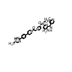 CCN(C(=O)[C@@H]1CCN(CC(=O)N2CC=C(c3ccc(C(=N)/N=C\NC)cc3)CC2)C1)c1ccc(N)c(C(=N)c2ccnc(C)c2)n1